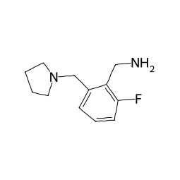 NCc1c(F)cccc1CN1CCCC1